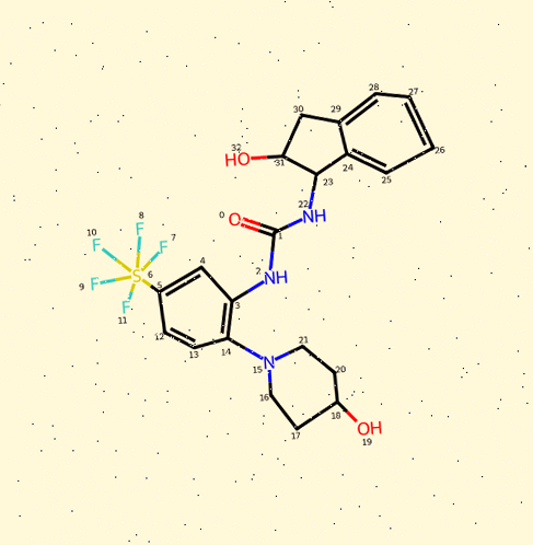 O=C(Nc1cc(S(F)(F)(F)(F)F)ccc1N1CCC(O)CC1)NC1c2ccccc2CC1O